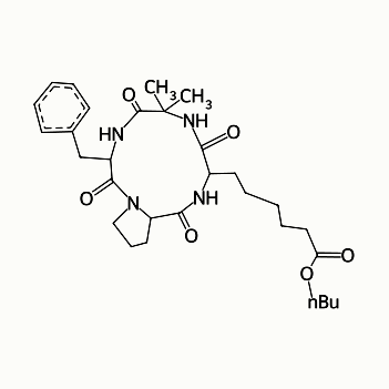 CCCCOC(=O)CCCCCC1NC(=O)C2CCCN2C(=O)C(Cc2ccccc2)NC(=O)C(C)(C)NC1=O